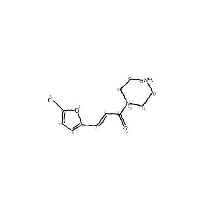 O=C(/C=C/c1ccc(Cl)o1)N1CCNCC1